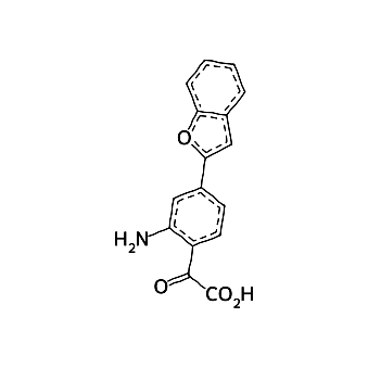 Nc1cc(-c2cc3ccccc3o2)ccc1C(=O)C(=O)O